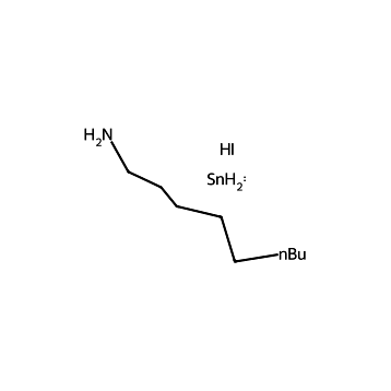 CCCCCCCCCN.I.[SnH2]